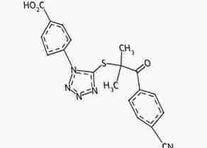 CC(C)(Sc1nnnn1-c1ccc(C(=O)O)cc1)C(=O)c1ccc(C#N)cc1